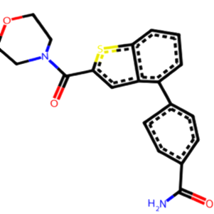 NC(=O)c1ccc(-c2cccc3sc(C(=O)N4CCOCC4)cc23)cc1